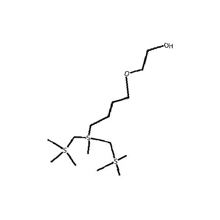 CS(C)(C)CS(C)(CCCCOCCO)CS(C)(C)C